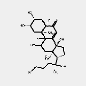 CC(C)CC[C@H](O)[C@](C)(O)[C@H]1CC[C@@]2(O)C3=CC(=O)[C@@H]4C[C@@H](O)[C@@H](O)C[C@]4(C)[C@H]3[C@H](O)C[C@]12C